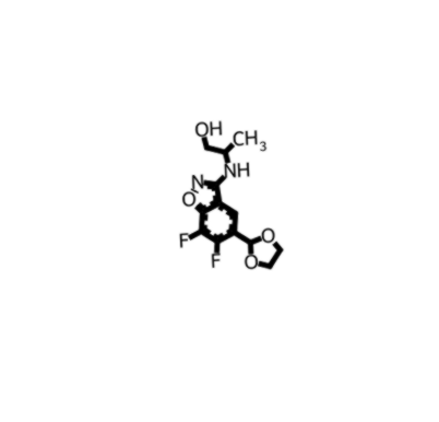 CC(CO)Nc1noc2c(F)c(F)c(C3OCCO3)cc12